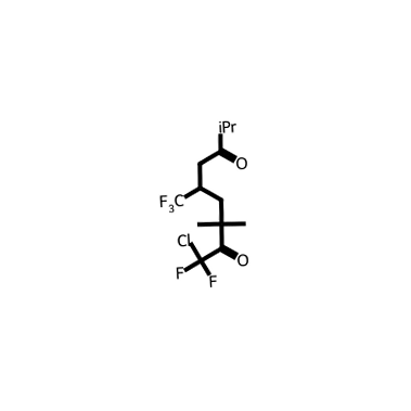 CC(C)C(=O)CC(CC(C)(C)C(=O)C(F)(F)Cl)C(F)(F)F